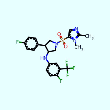 Cc1ncc(S(=O)(=O)N2CC(Nc3ccc(F)c(C(F)(F)F)c3)C(c3ccc(F)cc3)C2)n1C